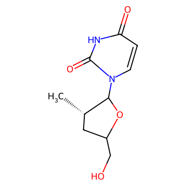 C[C@H]1CC(CO)OC1n1ccc(=O)[nH]c1=O